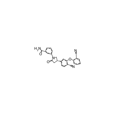 N#Cc1ccccc1Oc1cc([C@H]2CC(=O)N(c3cccc(C(N)=O)c3)C2)ccc1C#N